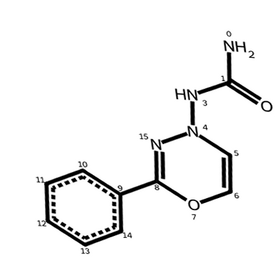 NC(=O)NN1C=COC(c2ccccc2)=N1